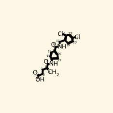 C=C(CCC(=O)O)C(=O)Nc1ccc(C(=O)NCc2ccc(Cl)cc2Cl)cc1